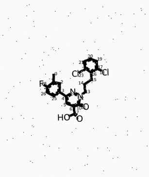 Cc1cc(-c2cc(C(=O)O)c(=O)n(CCCc3c(Cl)cccc3Cl)n2)ccc1F